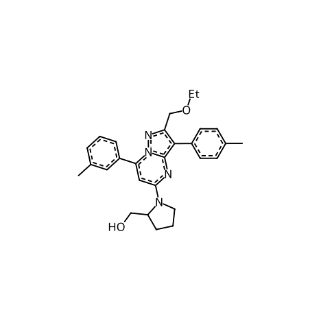 CCOCc1nn2c(-c3cccc(C)c3)cc(N3CCCC3CO)nc2c1-c1ccc(C)cc1